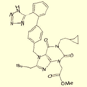 COC(=O)Cn1c(=O)n(CC2CC2)c(=O)c2c1nc(CC(C)(C)C)n2Cc1ccc(-c2ccccc2-c2nnn[nH]2)cc1